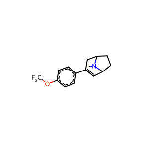 CN1C2C=C(c3ccc(OC(F)(F)F)cc3)CC1CC2